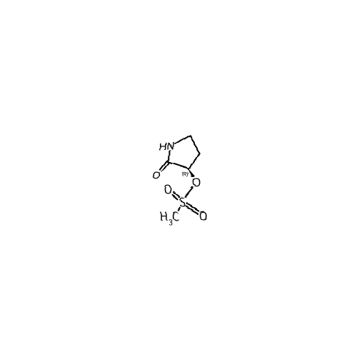 CS(=O)(=O)O[C@@H]1CCNC1=O